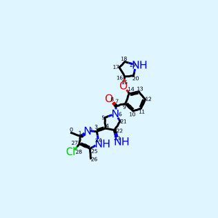 CC1=N/C(=C2\CN(C(=O)c3ccccc3OC3CCNC3)CC2=N)NC(C)=C1Cl